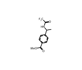 COC(=O)c1ccc(C(C)NC(=O)C(F)(F)F)cc1